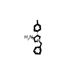 Cc1ccc([C@@H]2CN(Cc3ccccc3)C[C@H]2N)cc1